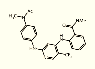 CNC(=O)c1ccccc1Nc1cc(Nc2ccc(N(C)C(C)=O)cc2)ncc1C(F)(F)F